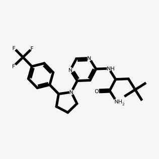 CC(C)(C)CC(Nc1cc(N2CCCC2c2ccc(C(F)(F)F)cc2)ncn1)C(N)=O